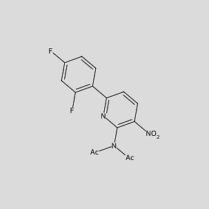 CC(=O)N(C(C)=O)c1nc(-c2ccc(F)cc2F)ccc1[N+](=O)[O-]